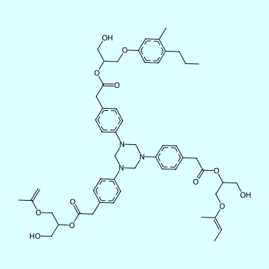 C=C(C)OCC(CO)OC(=O)Cc1ccc(N2CN(c3ccc(CC(=O)OC(CO)CO/C(C)=C/C)cc3)CN(c3ccc(CC(=O)OC(CO)COc4ccc(CCC)c(C)c4)cc3)C2)cc1